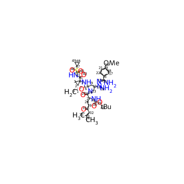 C=C[C@@H]1C[C@]1(NC(=O)[C@@H]1C[C@@H](N(N)/N=C(\N)c2ccc(OC)cc2)CN1C(=O)[C@H](CCC(=O)C=C(C)C)NC(=O)OC(C)(C)C)C(=O)NS(=O)(=O)C1CC1